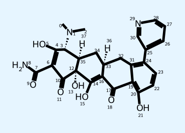 CN(C)[C@H]1C(O)=C(C(N)=O)C(=O)[C@]2(O)C(O)=C3C(=O)c4c(O)ccc(-c5cccnc5)c4C[C@@H]3C[C@H]12